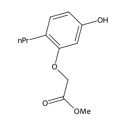 CCCc1ccc(O)cc1OCC(=O)OC